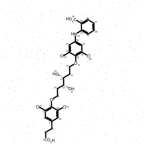 O=C(O)CCc1cc(Cl)c(OCC[C@@H](O)[C@H](O)CCOc2c(Cl)cc(Nc3ccccc3C(=O)O)cc2Cl)c(Cl)c1